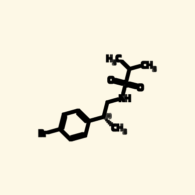 CC(C)S(=O)(=O)NC[C@H](C)c1ccc(Br)cc1